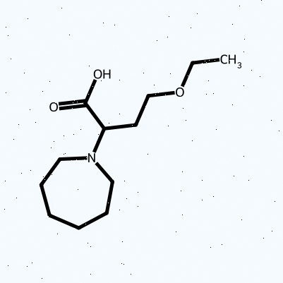 CCOCCC(C(=O)O)N1CCCCCC1